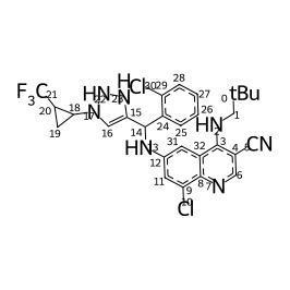 CC(C)(C)CNc1c(C#N)cnc2c(Cl)cc(NC(C3=CN(C4CC4C(F)(F)F)NN3)c3ccccc3Cl)cc12